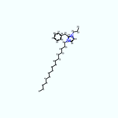 CCCCCCCCCCCCCCCCC[n+]1ccn(CCC)c1Cc1ccccc1